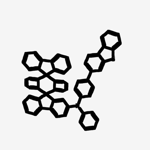 c1ccc(N(c2ccc(-c3ccc4c(c3)sc3ccccc34)cc2)c2ccc3c(c2)C2(c4ccccc4-3)c3ccccc3C3(c4ccccc4-c4ccccc43)c3ccccc32)cc1